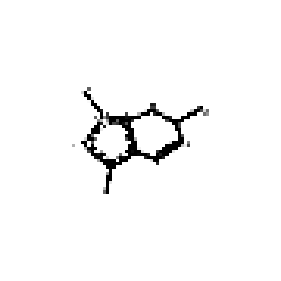 Cc1nn(C)c2c1C=CC(C)C2